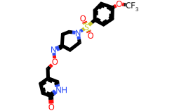 O=c1ccc(CON=C2CCN(S(=O)(=O)c3ccc(OC(F)(F)F)cc3)CC2)c[nH]1